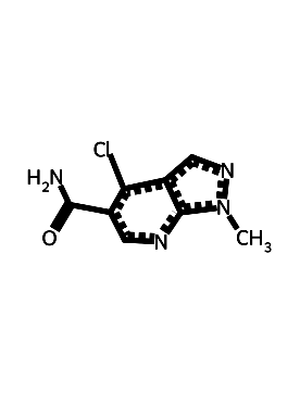 Cn1ncc2c(Cl)c(C(N)=O)cnc21